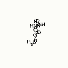 COCCOc1coc2cc(Nc3n[nH]c4cccnc34)ccc12